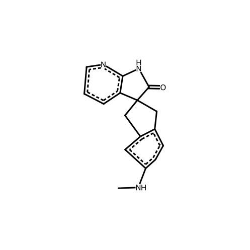 CNc1ccc2c(c1)CC1(C2)C(=O)Nc2ncccc21